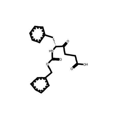 O=C(O)CCC(=O)[C@@H](Cc1ccccc1)NC(=O)OCc1ccccc1